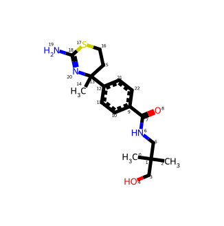 CC(C)(CO)CNC(=O)c1ccc(C2(C)CCSC(N)=N2)cc1